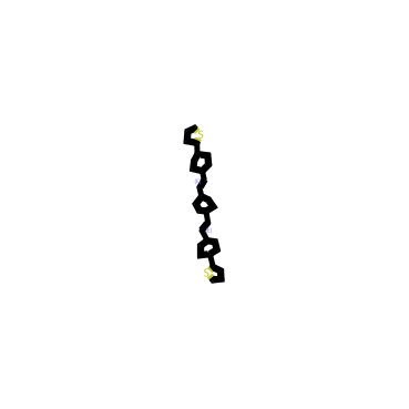 C(=C\c1ccc(-c2cccs2)cc1)/c1ccc(/C=C/c2ccc(-c3cccs3)cc2)cc1